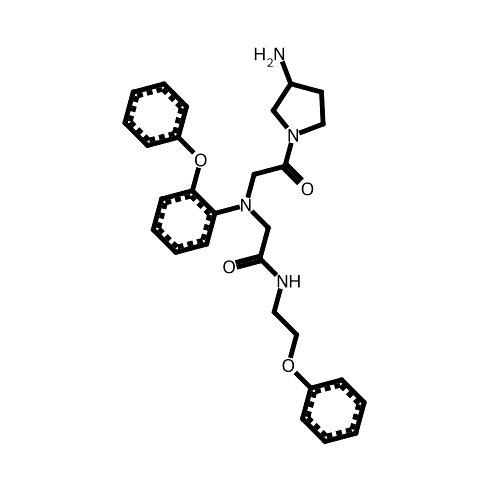 NC1CCN(C(=O)CN(CC(=O)NCCOc2ccccc2)c2ccccc2Oc2ccccc2)C1